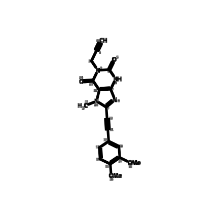 C#CCn1c(=O)[nH]c2nc(C#Cc3ccc(OC)c(OC)c3)n(C)c2c1=O